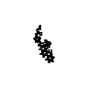 CCOC(=O)Cc1cnc(CCN(Cc2ccc(-c3ccccc3)c(Cl)c2)C(=O)OC(C)(C)C)o1